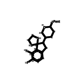 CCCCCC1CCC(C2Cc3ccc(F)c(F)c3C23SCCS3)CO1